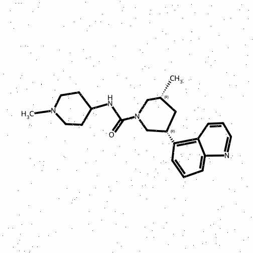 C[C@@H]1C[C@H](c2cccc3ncccc23)CN(C(=O)NC2CCN(C)CC2)C1